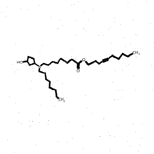 CCCCCC#CCCCOC(=O)CCCCCCCN(CCCCCCCC)C1CCC(O)C1